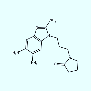 Nc1cc2nc(N)n(CCCN3CCCC3=O)c2cc1N